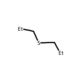 CCCSCCC